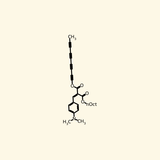 CC#CC#CC#CC#COC(=O)C(=Cc1ccc(N(C)C)cc1)C(=O)OCCCCCCCC